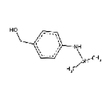 C[SH](C)Nc1ccc(CO)cc1